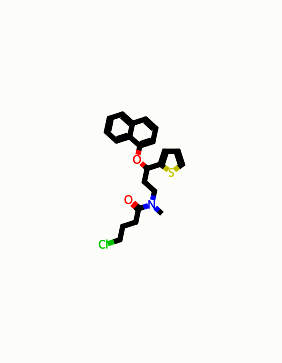 CN(CCC(Oc1cccc2ccccc12)c1cccs1)C(=O)CCCCl